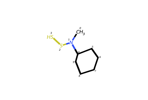 CN(SS)C1CCCCC1